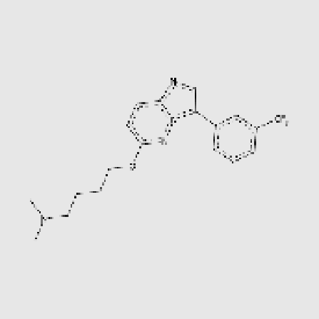 CN(C)CCCCOc1ccc2ncc(-c3cccc(C(F)(F)F)c3)n2n1